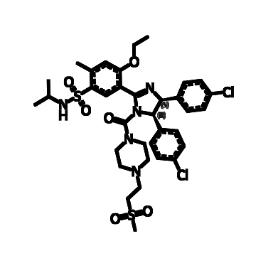 CCOc1cc(C)c(S(=O)(=O)NC(C)C)cc1C1=N[C@@H](c2ccc(Cl)cc2)[C@@H](c2ccc(Cl)cc2)N1C(=O)N1CCN(CCS(C)(=O)=O)CC1